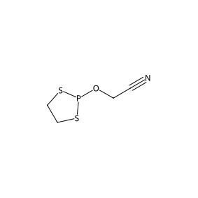 N#CCOP1SCCS1